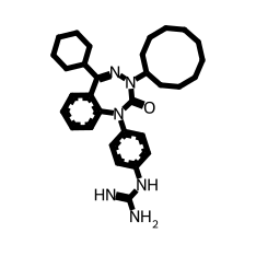 N=C(N)Nc1ccc(N2C(=O)N(C3CCCCCCCCC3)N=C(C3CCCCC3)c3ccccc32)cc1